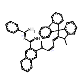 CC(/C=C\C=C1/C(C)c2ccccc2C12c1ccccc1-c1ccccc12)c1cc2ccccc2cc1C(=N)/N=C(\N)c1ccccc1